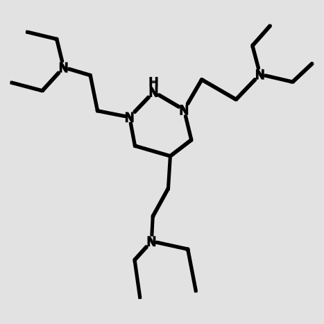 CCN(CC)CCC1CN(CCN(CC)CC)NN(CCN(CC)CC)C1